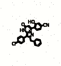 N#Cc1ccc(-c2cc(=O)[nH]c3c(-c4ccc(Cl)cc4)c(Cc4ccccc4)nn23)c(O)c1